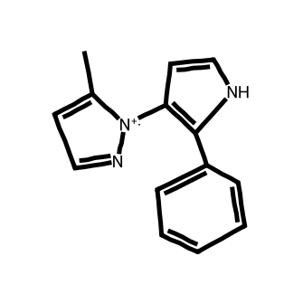 CC1=CC=N[N+]1c1cc[nH]c1-c1ccccc1